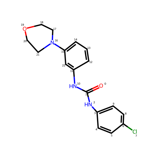 O=C(Nc1ccc(Cl)cc1)Nc1cccc(N2CCOCC2)c1